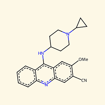 COc1cc2c(NC3CCN(C4CC4)CC3)c3ccccc3nc2cc1C#N